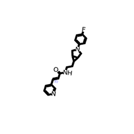 O=C(/C=C/c1cccnc1)NCCC1C2CN(c3ccc(F)cc3)CC12